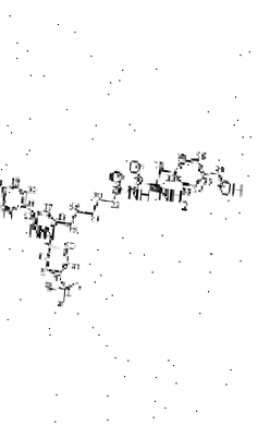 CC(C)(C)c1ccc(-n2nc(-c3ccccn3)cc2CCCCCC(=O)NC(=O)[C@@H](N)Cc2ccc(CO)cc2)cc1